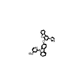 CC(C)(C)c1ccnc(-n2c3ccccc3c3ccc(Oc4cc(-n5ccnc5)cc5c4oc4ccccc45)cc32)c1